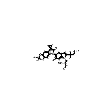 CC(C)(CO)C1=CC2CC(NC(=O)C3(c4ccc5c(c4)OC(F)(F)O5)CC3)=C(F)C=C2N1C[C@@H](O)CO